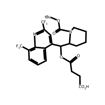 CC(C)(C)OC(=O)N1CCCCC1C(OC(=O)CCC(=O)O)c1cc(C(F)(F)F)nc2c(C(F)(F)F)cccc12